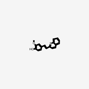 COc1cc(C=Cc2ccc3ccccc3n2)ccc1O